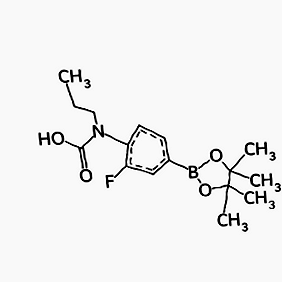 CCCN(C(=O)O)c1ccc(B2OC(C)(C)C(C)(C)O2)cc1F